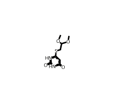 COC(CSc1cc(=O)[nH]c(=O)[nH]1)OC